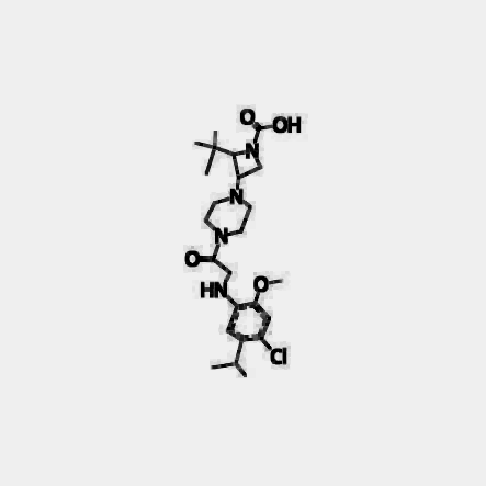 COc1cc(Cl)c(C(C)C)cc1NCC(=O)N1CCN(C2CN(C(=O)O)C2C(C)(C)C)CC1